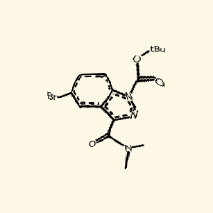 CN(C)C(=O)c1nn(C(=O)OC(C)(C)C)c2ccc(Br)cc12